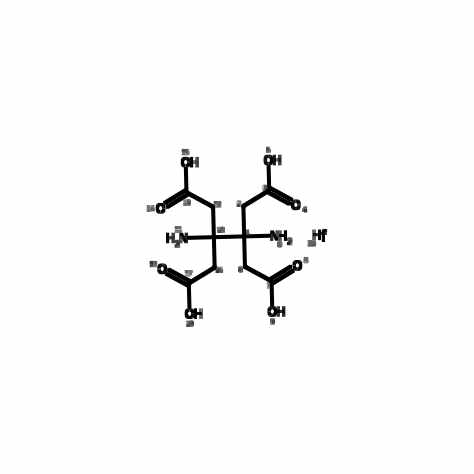 NC(CC(=O)O)(CC(=O)O)C(N)(CC(=O)O)CC(=O)O.[Hf]